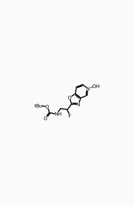 CC(C)(C)OC(=O)NCC(F)c1nc2c[n+](O)ccc2o1